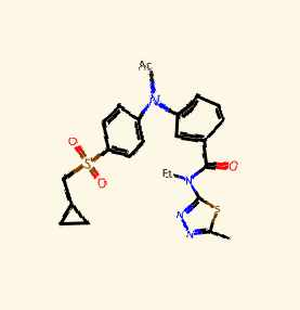 CCN(C(=O)c1cccc(N(C(C)=O)c2ccc(S(=O)(=O)CC3CC3)cc2)c1)c1nnc(C)s1